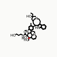 CCC1(O)CC2CN(CCc3c([nH]c4ccccc34)[C@@](C)(c3cc4c(cc3C)N(C)C3[C@]45CCN4CC=C[C@](CC)(C45)[C@@H](O)[C@]3(O)C(=O)NCCCO)C2)C1